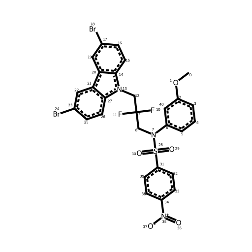 COc1cccc(N(CC(F)(F)Cn2c3ccc(Br)cc3c3cc(Br)ccc32)S(=O)(=O)c2ccc([N+](=O)[O-])cc2)c1